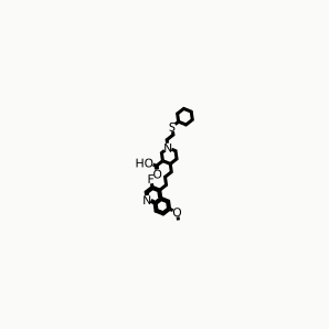 COc1ccc2ncc(F)c(CCCC3CCN(CCSC4CCCCC4)CC3C(=O)O)c2c1